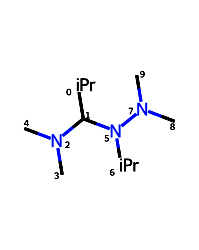 CC(C)C(N(C)C)N(C(C)C)N(C)C